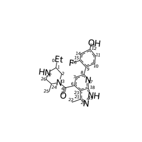 CCC1CN(C(=O)c2cc(-c3ccc(O)cc3F)nc3[nH]nc(C)c23)C(C)CN1